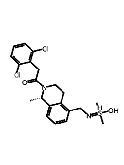 C[C@H]1c2cccc(CN=[SH](C)(C)O)c2CCN1C(=O)Cc1c(Cl)cccc1Cl